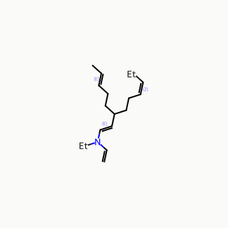 C=CN(/C=C/C(CC/C=C\CC)CC/C=C/C)CC